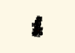 C=C[C@]1(C)C[C@@H](OC(=O)NC(=O)OC2CCCCC2)[C@]2(C)C(C)CC[C@]3(CCCC32)[C@@H](C)C1=O